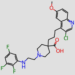 COc1ccc2ncc(Cl)c(CCCC3(C(=O)O)CCN(CCNc4cc(F)cc(F)c4F)CC3)c2c1